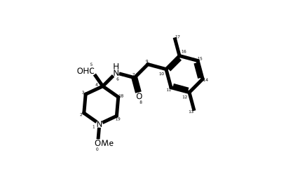 CON1CCC(C=O)(NC(=O)Cc2cc(C)ccc2C)CC1